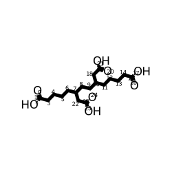 O=C(O)CCCCC(CCC(CCCCC(=O)O)CC(=O)O)CC(=O)O